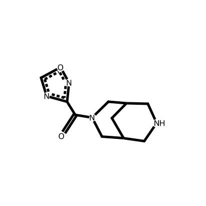 O=C(c1ncon1)N1CC2CNCC(C2)C1